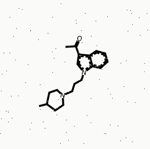 CC(=O)c1cn(CCCN2CCC(C)CC2)c2ccccc12